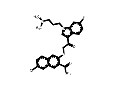 CN(C)CCCn1cc(C(=O)COc2cc3ccc(Cl)cc3cc2C(N)=O)c2ccc(F)cc21